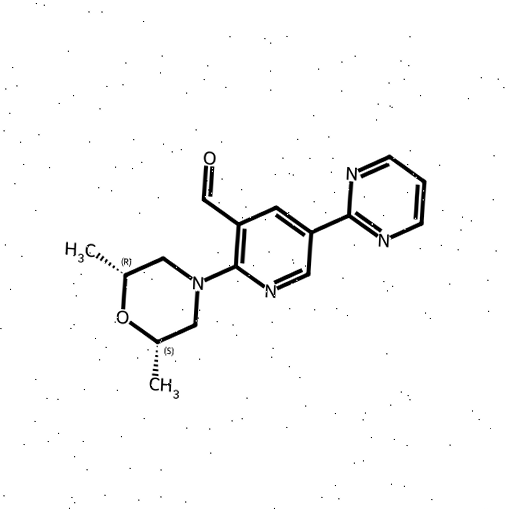 C[C@@H]1CN(c2ncc(-c3ncccn3)cc2C=O)C[C@H](C)O1